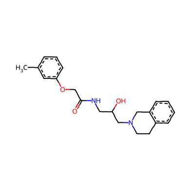 Cc1cccc(OCC(=O)NCC(O)CN2CCc3ccccc3C2)c1